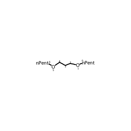 CCCCCOCCCOCCCCC